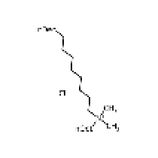 CCCCCCCCCCCCCCCCCC[N+](C)(C)CCCCCCCC.[Cl-]